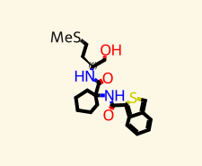 CSCC[C@@H](CO)NC(=O)C1(NC(=O)c2scc3ccccc23)CCCCC1